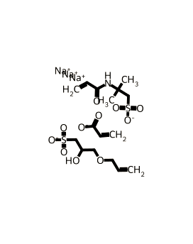 C=CC(=O)NC(C)(C)CS(=O)(=O)[O-].C=CC(=O)[O-].C=CCOCC(O)CS(=O)(=O)[O-].[Na+].[Na+].[Na+]